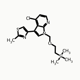 Cc1nc(-c2cn(COCC[Si](C)(C)C)c3nccc(Cl)c23)cs1